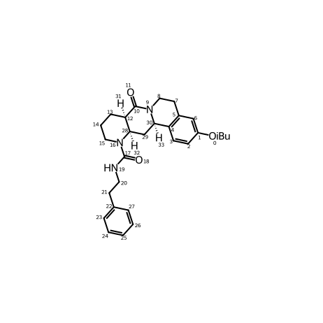 CC(C)COc1ccc2c(c1)CCN1C(=O)[C@@H]3CCCN(C(=O)NCCc4ccccc4)[C@@H]3C[C@H]21